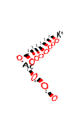 CC(=O)[O-].[C]=O.[C]=O.[C]=O.[C]=O.[C]=O.[C]=O.[C]=O.[C]=O.[C]=O.[C]=O.[K+]